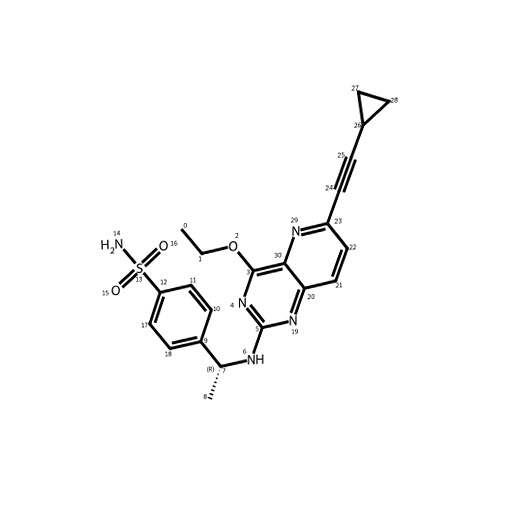 CCOc1nc(N[C@H](C)c2ccc(S(N)(=O)=O)cc2)nc2ccc(C#CC3CC3)nc12